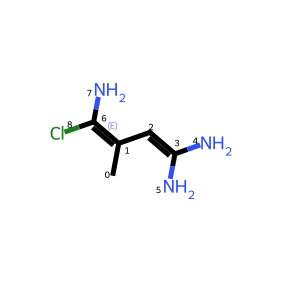 C/C(C=C(N)N)=C(/N)Cl